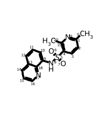 Cc1ccc(S(=O)(=O)Nc2cccc3cccnc23)c(C)n1